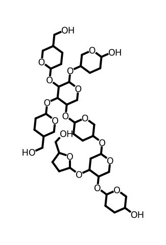 OCC1CCC(OC2C(OC3CCC(OC4CC(OC5CCC(CO)O5)C(OC5CCC(O)CO5)CO4)CO3)COC(OC3CCC(O)OC3)C2OC2CCC(CO)CO2)OC1